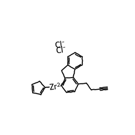 C#CCCc1cc[c]([Zr+2][C]2=CC=CC2)c2c1-c1ccccc1C2.[Cl-].[Cl-]